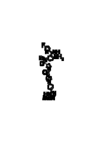 CCN(C(=O)[C@@H]1CCN(CC(=O)N2CCN(c3ccc(C(=N)/N=C\NC)cc3)CC2)C1)c1ccc(N)c(C(=N)c2ccc(F)cn2)c1